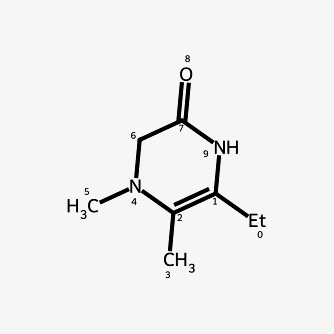 CCC1=C(C)N(C)CC(=O)N1